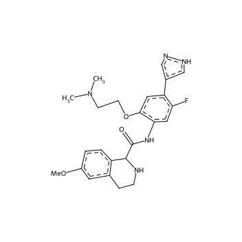 COc1ccc2c(c1)CCNC2C(=O)Nc1cc(F)c(-c2cn[nH]c2)cc1OCCN(C)C